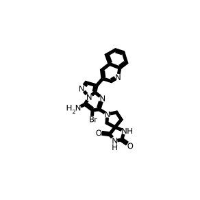 Nc1c(Br)c(N2CCC3(C2)NC(=O)NC3=O)nc2c(-c3cnc4ccccc4c3)cnn12